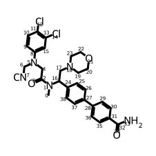 CN(C(=O)CN(CC#N)c1ccc(Cl)c(Cl)c1)C(CN1CCOCC1)c1ccc(-c2ccc(C(N)=O)cc2)cc1